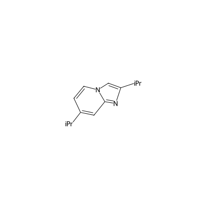 CC(C)c1ccn2cc(C(C)C)nc2c1